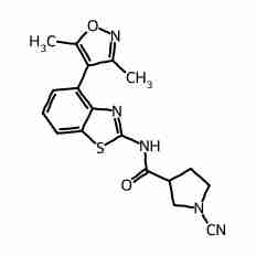 Cc1noc(C)c1-c1cccc2sc(NC(=O)C3CCN(C#N)C3)nc12